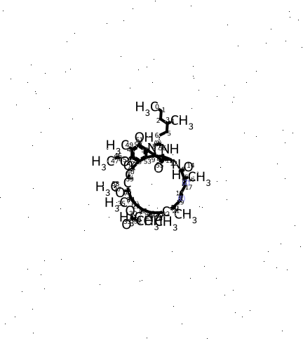 CCCC(C)CC[C@H]1N=C2C(=C3NC(=O)/C(C)=C\C=C\[C@H](C)C[C@@H](C)[C@@H](O)[C@@H](C)[C@H](OC(C)=O)[C@H](C)[C@@H](OC)CCC(=O)c4c(OCC)c(C)c(O)c(c42)C3=O)N1